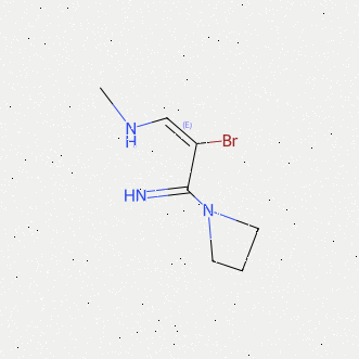 CN/C=C(/Br)C(=N)N1CCC1